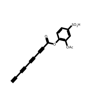 C#CC#CC#CC#CC(=O)Oc1ccc(S(=O)(=O)O)cc1OC(C)=O